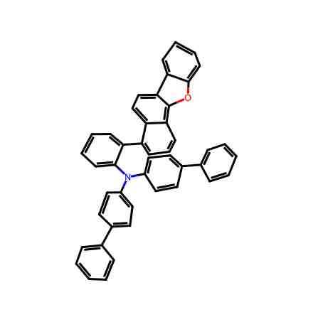 c1ccc(-c2ccc(N(c3ccc(-c4ccccc4)cc3)c3ccccc3-c3cccc4c3ccc3c5ccccc5oc43)cc2)cc1